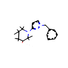 [2H]C1([2H])N(c2ccn(Cc3ccccc3)n2)C([2H])([2H])[C@@](C)(O)C([2H])([2H])C1([2H])[2H]